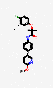 CC(C)Oc1ccc(-c2ccc(NC(=O)C(C)(C)Oc3ccc(F)cc3)cc2)cn1